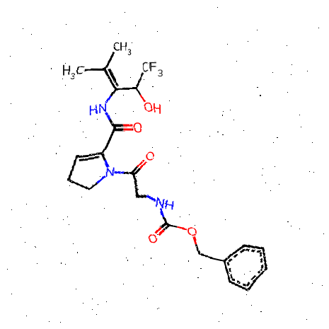 CC(C)=C(NC(=O)C1=CCCN1C(=O)CNC(=O)OCc1ccccc1)C(O)C(F)(F)F